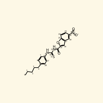 CCCCCc1ccc(NC(=S)NC(=O)c2cc3cc([N+](=O)[O-])ccc3o2)cc1